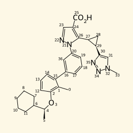 Cc1c(O[C@@H](C)C2CCCCC2)cccc1-c1cccc(-n2ncc(C(=O)O)c2C2C[C@H]2c2cn(C)nn2)c1